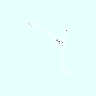 CCCCCCCCCCCCCCCCCC(=O)O[Si](CCCCCCSC#N)(OC)OC(=O)CCCCCCCCCCCCCCCCC